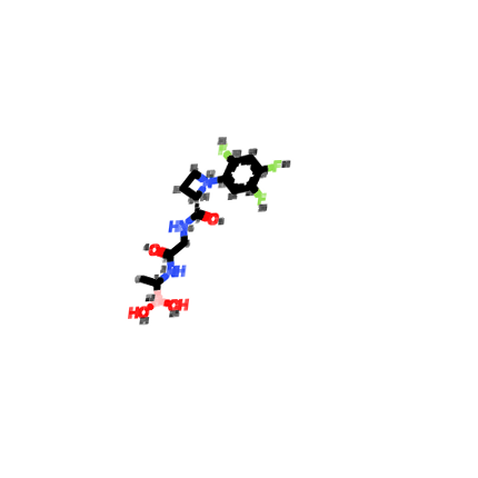 CC(NC(=O)CNC(=O)[C@@H]1CCN1c1cc(F)c(F)cc1F)B(O)O